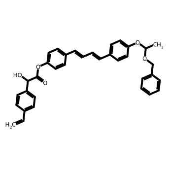 C=Cc1ccc(C(O)C(=O)Oc2ccc(C=CC=Cc3ccc(OC(C)OCc4ccccc4)cc3)cc2)cc1